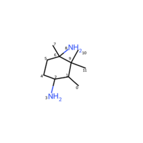 CC1C(N)CCC(C)(N)C1(C)C